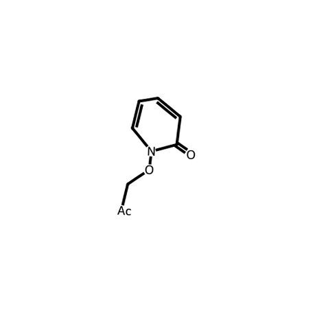 CC(=O)COn1ccccc1=O